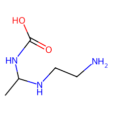 CC(NCCN)NC(=O)O